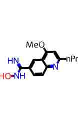 CCCc1cc(OC)c2cc(C(=N)NO)ccc2n1